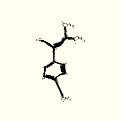 CC(C)=C(F)c1ccc(C)cc1